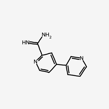 N=C(N)c1cc(-c2cccnc2)ccn1